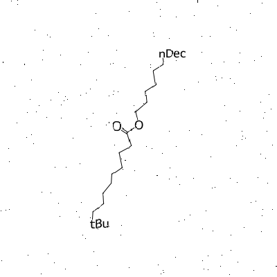 CCCCCCCCCCCCCCCCOC(=O)CCCCCCCCC(C)(C)C